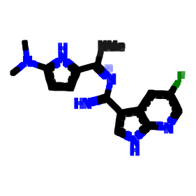 CN/C(=N/C(=N)c1c[nH]c2ncc(F)cc12)c1ccc(N(C)C)[nH]1